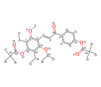 CCc1c(OC)c(C=CC(=O)c2ccc(OC(=O)C(C)(C)C)cc2)c(OC(C)C)c(CC)c1OC(=O)C(C)(C)C